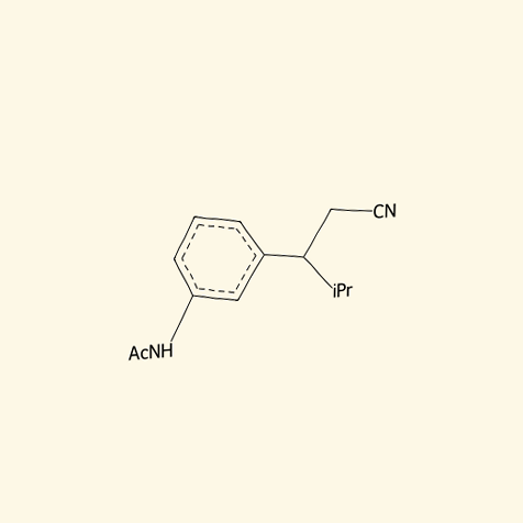 CC(=O)Nc1cccc(C(CC#N)C(C)C)c1